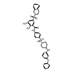 O=C(Nc1ccc(S(=O)(=O)N2CCC(Nc3cccc(Oc4ccccc4)c3)CC2)cc1)c1cc(S(=O)(=O)N2CCc3ccccc3C2)cc(O)c1O